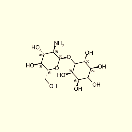 N[C@H]1[C@@H](OC2[C@H](O)[C@H](O)C(O)[C@H](O)[C@H]2O)O[C@H](CO)[C@@H](O)[C@@H]1O